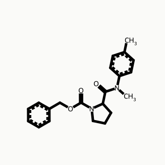 Cc1ccc(N(C)C(=O)C2CCCN2C(=O)OCc2ccccc2)cc1